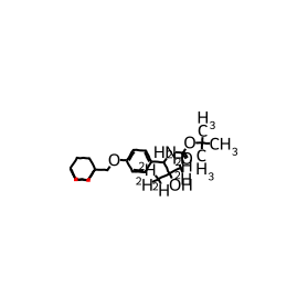 [2H]C([2H])([2H])C(O)(C(NC(=O)OC(C)(C)C)c1ccc(OCC23CCC(CC2)CC3)cc1)C([2H])([2H])[2H]